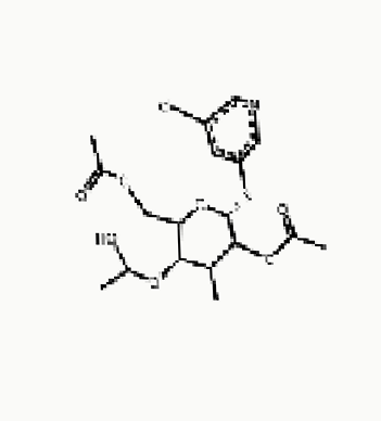 CC(=O)OCC1O[C@H](Sc2cncc(Cl)c2)C(OC(C)=O)C(C)[C@H]1OC(C)O